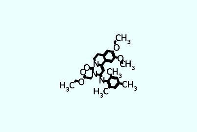 CCOC(=O)Cn1c(=O)n2c(c/c1=N\c1c(C)cc(C)cc1C)-c1cc(OC)c(OCC)cc1CC2